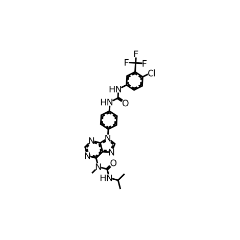 CC(C)NC(=O)N(C)c1ncnc2c1ncn2-c1ccc(NC(=O)Nc2ccc(Cl)c(C(F)(F)F)c2)cc1